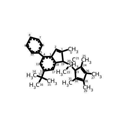 CC1=Cc2c(-c3ccccc3)cc(C(C)(C)C)cc2C1[Si](C)(C)C1C(C)=C(C)C(C)=C1C